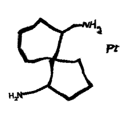 NC1CCCC12CCCC2N.[Pt]